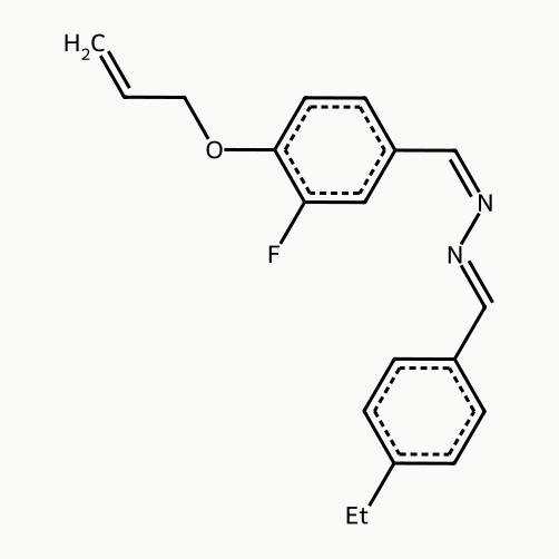 C=CCOc1ccc(/C=N\N=C\c2ccc(CC)cc2)cc1F